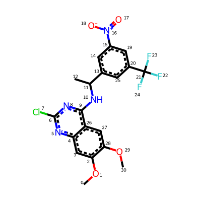 COc1cc2nc(Cl)nc(NC(C)c3cc([N+](=O)[O-])cc(C(F)(F)F)c3)c2cc1OC